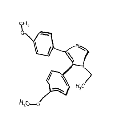 CCn1cnc(-c2ccc(OC)cc2)c1-c1ccc(OC)cc1